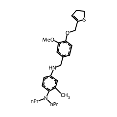 CCCN(CCC)c1ccc(NCc2ccc(OCC3=CCCS3)c(OC)c2)cc1C